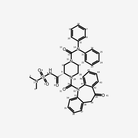 CN(C)S(=O)(=O)NC(=O)[C@@H]1CN(C(=O)N(c2ccccc2)c2ccccc2)CCN1C(=O)N1c2ccccc2CC(=O)c2ccccc21